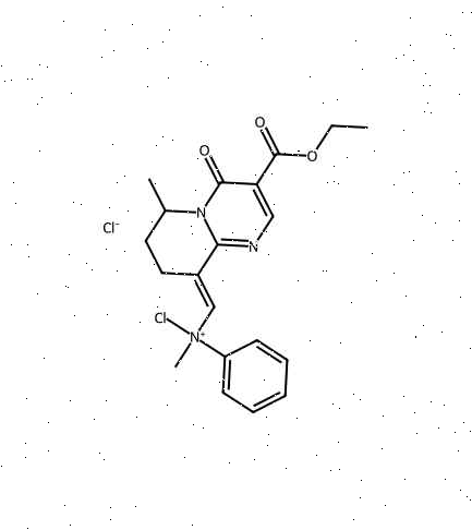 CCOC(=O)c1cnc2n(c1=O)C(C)CCC2=C[N+](C)(Cl)c1ccccc1.[Cl-]